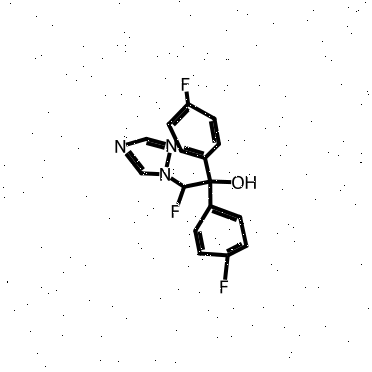 OC(c1ccc(F)cc1)(c1ccc(F)cc1)C(F)n1cncn1